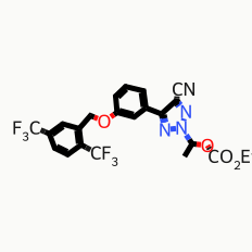 CCOC(=O)OC(C)n1nc(C#N)c(-c2cccc(OCc3cc(C(F)(F)F)ccc3C(F)(F)F)c2)n1